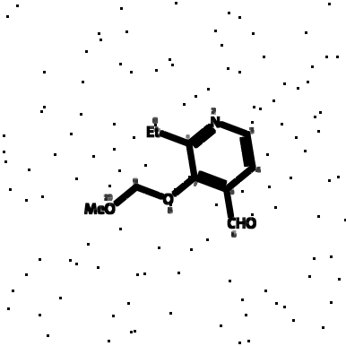 CCc1nccc(C=O)c1OCOC